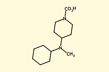 CN(C1CCCCC1)C1CCN(C(=O)O)CC1